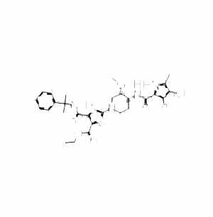 CCOC(=O)c1sc(N2CC[C@H](NC(=O)c3[nH]c(C)c(Cl)c3Cl)[C@H](OC)C2)nc1C(=O)NC(C)(C)c1ccccc1